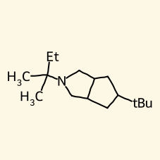 CCC(C)(C)N1CC2CC(C(C)(C)C)CC2C1